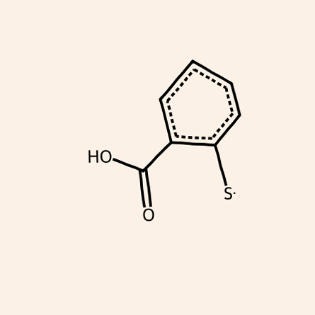 O=C(O)c1ccccc1[S]